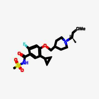 COC[C@H](C)N1CCC(COc2cc(F)c(C(=O)NS(C)(=O)=O)cc2C2CC2)CC1